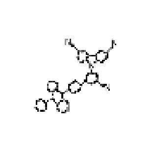 N#Cc1cc(-c2ccc(-c3c4ccccc4c(-c4ccccc4)c4ccccc34)cc2)cc(-n2c3ccc(C#N)cc3c3cc(C#N)ccc32)c1